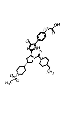 CS(=O)(=O)N1CCC([C@H]2C[C@@H](c3nc(Cl)c(-c4ccc(NC(=O)O)cc4)[nH]3)N(C(=O)N3CCC(CN)CC3)C2)CC1